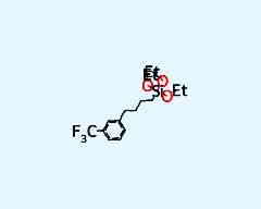 CCO[Si](CCCCc1cccc(C(F)(F)F)c1)(OCC)OCC